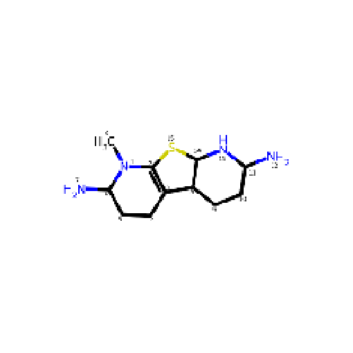 CN1C2=C(CCC1N)C1CCC(N)NC1S2